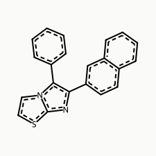 c1ccc(-c2c(-c3ccc4ccccc4c3)nc3sccn23)cc1